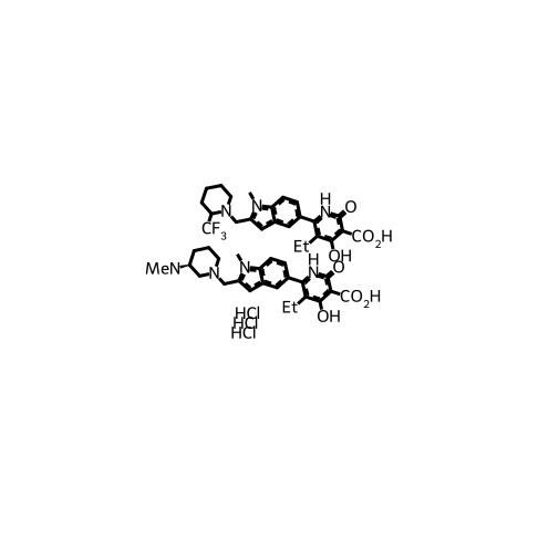 CCc1c(-c2ccc3c(c2)cc(CN2CCCCC2C(F)(F)F)n3C)[nH]c(=O)c(C(=O)O)c1O.CCc1c(-c2ccc3c(c2)cc(CN2CCC[C@H](NC)C2)n3C)[nH]c(=O)c(C(=O)O)c1O.Cl.Cl.Cl